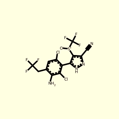 N#Cc1n[nH]c(-c2c(Cl)cc(CC(F)(F)F)c(N)c2Cl)c1[S+]([O-])C(F)(F)F